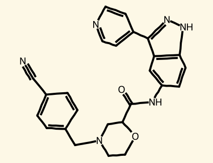 N#Cc1ccc(CN2CCOC(C(=O)Nc3ccc4[nH]nc(-c5ccncc5)c4c3)C2)cc1